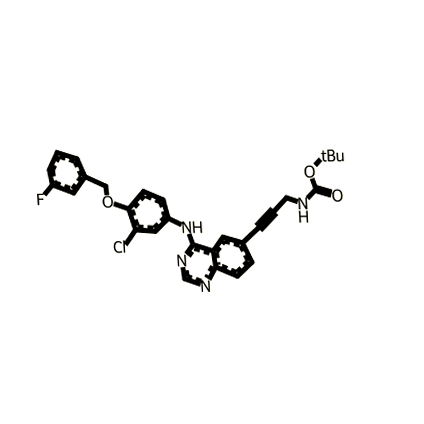 CC(C)(C)OC(=O)NCC#Cc1ccc2ncnc(Nc3ccc(OCc4cccc(F)c4)c(Cl)c3)c2c1